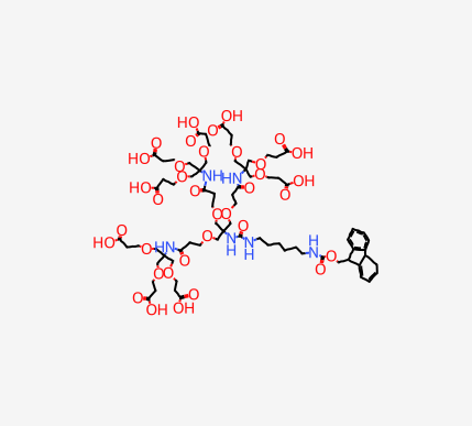 O=C(O)CCOCC(COCCC(=O)O)(COCCC(=O)O)NC(=O)CCOCC(COCCC(=O)NC(COCCC(=O)O)(COCCC(=O)O)COCCC(=O)O)(COCCC(=O)NC(COCCC(=O)O)(COCCC(=O)O)COCCC(=O)O)NC(=O)NCCCCCCNC(=O)OCC1C2=CC=CCC2c2ccccc21